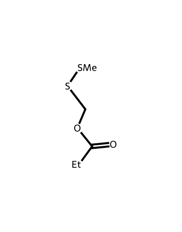 CCC(=O)OCSSC